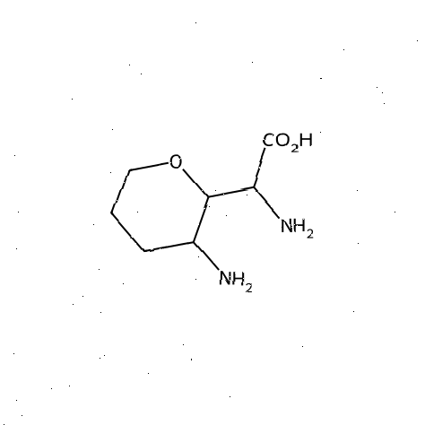 NC1CCCOC1C(N)C(=O)O